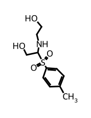 Cc1ccc(S(=O)(=O)C(CO)NCCO)cc1